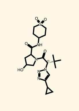 CC(C)(C)[C@@H](C(=O)N1CC(O)CC1C(=O)NC1CCS(=O)(=O)CC1)n1cc(C2CC2)nn1